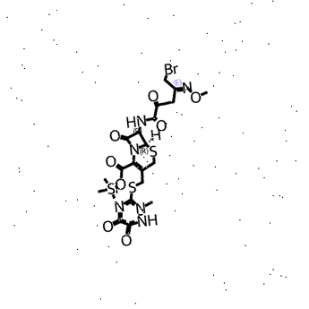 CO/N=C(/CBr)CC(=O)C(=O)N[C@@H]1C(=O)N2C(C(=O)O[Si](C)(C)C)=C(CSc3nc(=O)c(=O)[nH]n3C)CS[C@H]12